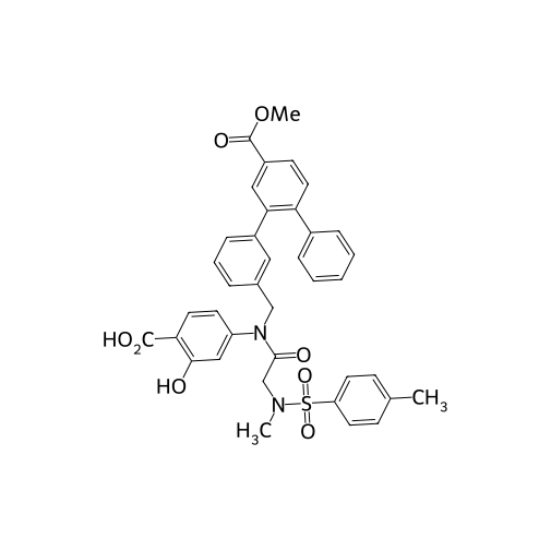 COC(=O)c1ccc(-c2ccccc2)c(-c2cccc(CN(C(=O)CN(C)S(=O)(=O)c3ccc(C)cc3)c3ccc(C(=O)O)c(O)c3)c2)c1